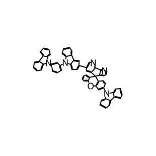 c1cc(-n2c3ccccc3c3ccccc32)cc(-n2c3ccccc3c3cc(-c4cnc5c(c4)C4(c6ccccc6Oc6cc(-n7c8ccccc8c8ccccc87)ccc64)c4cccnc4-5)ccc32)c1